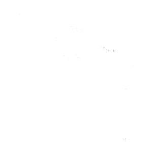 CC(C)CCCc1ccc(Nc2ccc(CCCC(C)C)cc2)cc1